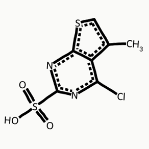 Cc1csc2nc(S(=O)(=O)O)nc(Cl)c12